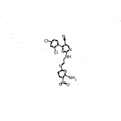 N#Cc1cnc(NCC=Nc2ccc([N+](=O)[O-])c(N)n2)nc1-c1ccc(Cl)cc1Cl